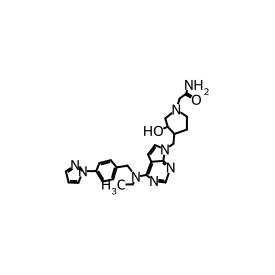 CCN(Cc1ccc(-n2cccn2)cc1)c1ncnc2c1ccn2CC1CCN(CC(N)=O)CC1O